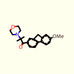 COc1ccc2c(c1)Cc1cc(C(=O)C(C)(C)N3CCOCC3)ccc1-2